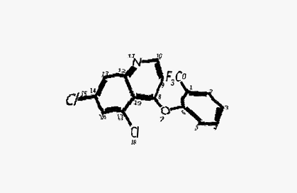 FC(F)(F)c1ccccc1Oc1ccnc2cc(Cl)cc(Cl)c12